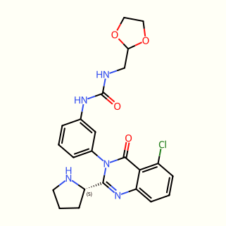 O=C(NCC1OCCO1)Nc1cccc(-n2c([C@@H]3CCCN3)nc3cccc(Cl)c3c2=O)c1